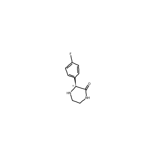 O=C1NCCN[C@H]1c1ccc(F)cc1